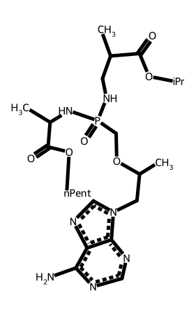 CCCCCOC(=O)C(C)NP(=O)(COC(C)Cn1cnc2c(N)ncnc21)NCC(C)C(=O)OC(C)C